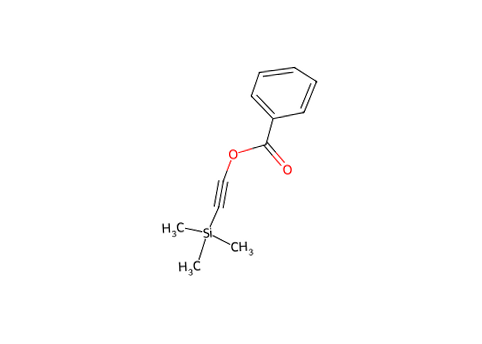 C[Si](C)(C)C#COC(=O)c1ccccc1